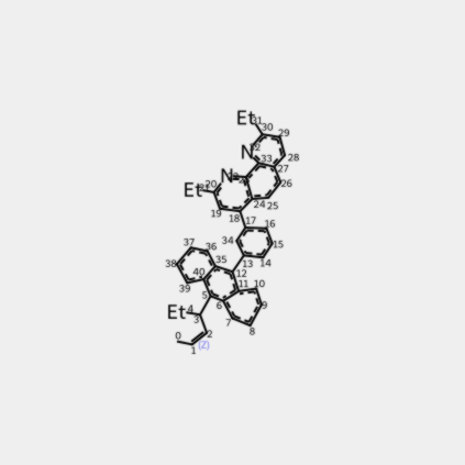 C/C=C\C(CC)c1c2ccccc2c(-c2cccc(-c3cc(CC)nc4c3ccc3ccc(CC)nc34)c2)c2ccccc12